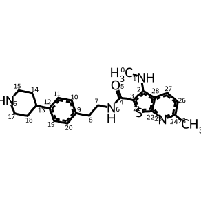 CNc1c(C(=O)NCCc2ccc(C3CCNCC3)cc2)sc2nc(C)ccc12